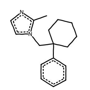 Cc1nccn1CC1(c2ccccc2)CCCCC1